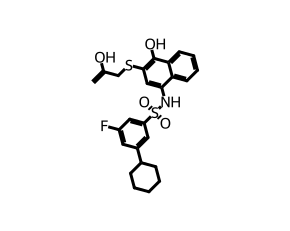 C=C(O)CSc1cc(NS(=O)(=O)c2cc(F)cc(C3CCCCC3)c2)c2ccccc2c1O